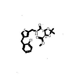 COC(=O)[C@@H]1OC(C)(C)O[C@H]1C(=O)NCc1cc(Cc2ccccc2Cl)cs1